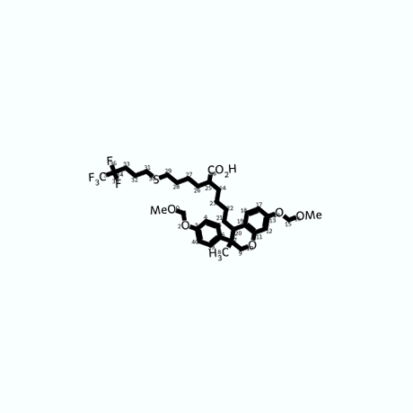 COCOc1ccc(C2(C)COc3cc(OCOC)ccc3C2CCCCC(CCCCSCCCC(F)(F)C(F)(F)F)C(=O)O)cc1